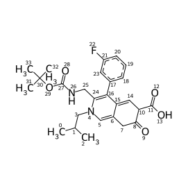 CC(C)CN1C=C2CC(=O)C(C(=O)O)C=C2C(c2cccc(F)c2)=C1CNC(=O)OC(C)(C)C